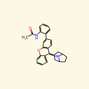 CC(=O)Nc1ccccc1-c1ccc2c(c1)Oc1ccccc1C2=C1CC2CCC(C1)N2